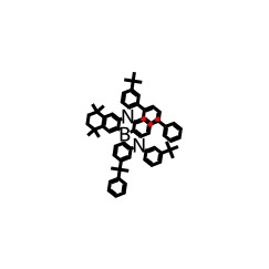 Cc1cc2c3c(c1)N(c1ccc(C(C)(C)C)cc1-c1ccc(-c4ccccc4)cc1)c1cc4c(cc1B3c1ccc(C(C)(C)c3ccccc3)cc1N2c1cccc(C(C)(C)C)c1)C(C)(C)CCC4(C)C